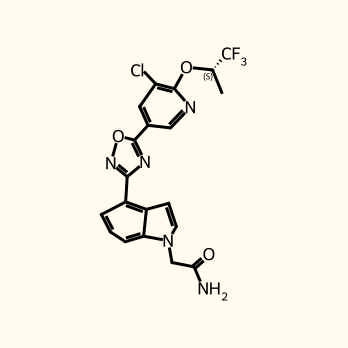 C[C@H](Oc1ncc(-c2nc(-c3cccc4c3ccn4CC(N)=O)no2)cc1Cl)C(F)(F)F